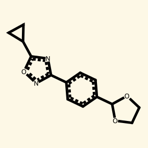 c1cc(C2OCCO2)ccc1-c1noc(C2CC2)n1